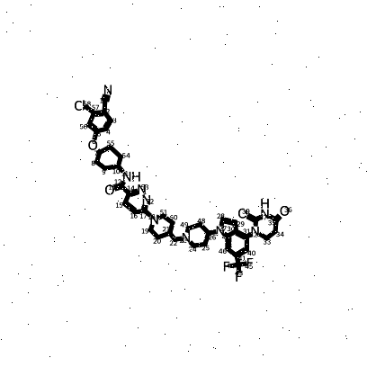 N#Cc1ccc(OC2CCC(NC(=O)c3ccc(N4CCC(CN5CCC(n6ccc7c(N8CCC(=O)NC8=O)cc(C(F)(F)F)cc76)CC5)CC4)nn3)CC2)cc1Cl